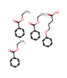 CCOC(=O)c1ccccc1.CCOC(=O)c1ccccc1.CCOC(=O)c1ccccc1.O=C(O)CCCOc1ccccc1